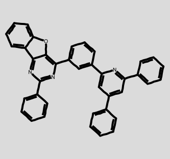 c1ccc(-c2cc(-c3ccccc3)nc(-c3cccc(-c4nc(-c5ccccc5)nc5c4oc4ccccc45)c3)c2)cc1